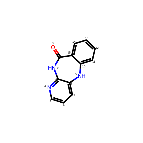 O=C1Nc2ncccc2Nc2ccccc21